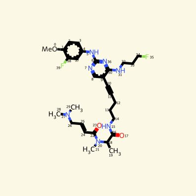 COc1ccc(Nc2ncc(C#CCCCNC(=O)C(C)N(C)C(=O)C=CCN(C)C)c(NCCCF)n2)cc1F